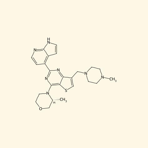 C[C@@H]1COCCN1c1nc(-c2ccnc3[nH]ccc23)nc2c(CN3CCN(C)CC3)csc12